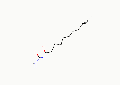 CCCCC=CCCCCCCCC(=O)NC(=O)NCCCC